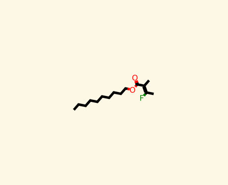 CCCCCCCCCCOC(=O)C(C)=C(C)F